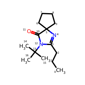 CCCC1=NC2(CCCC2)C(=O)N1C(C)(C)C